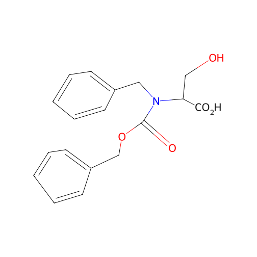 O=C(O)C(CO)N(Cc1ccccc1)C(=O)OCc1ccccc1